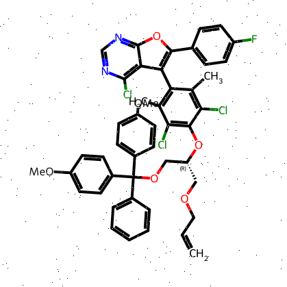 C=CCOC[C@H](COC(c1ccccc1)(c1ccc(OC)cc1)c1ccc(OC)cc1)Oc1c(Cl)c(C)c(-c2c(-c3ccc(F)cc3)oc3ncnc(Cl)c23)c(C)c1Cl